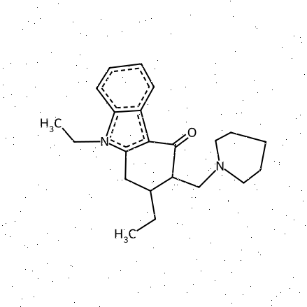 CCC1Cc2c(c3ccccc3n2CC)C(=O)C1CN1CCCCC1